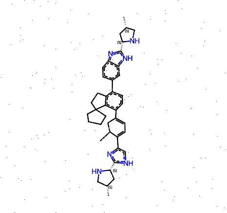 CC1CC(c2ccc(-c3ccc4nc([C@@H]5C[C@H](C)CN5)[nH]c4c3)c3c2C2(CCCC2)CC3)=CC=C1c1c[nH]c([C@@H]2C[C@H](C)CN2)n1